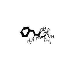 C[C@H](NC(=O)[C@@H](N)Cc1ccccc1)P(=O)(O)O